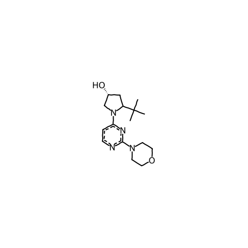 CC(C)(C)C1C[C@@H](O)CN1c1ccnc(N2CCOCC2)n1